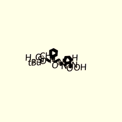 CC(C)(C)[Si](C)(C)OCCN(C(=O)Cn1cnc2c(C(=O)NO)cccc21)c1ccccc1